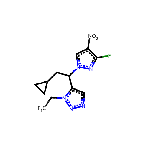 O=[N+]([O-])c1cn(C(CC2CC2)c2cnnn2CC(F)(F)F)nc1F